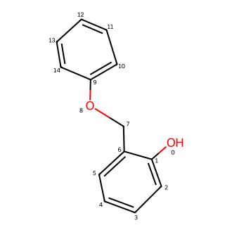 Oc1ccccc1COc1ccccc1